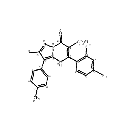 CCOC(=O)c1c(-c2ccc(F)cc2F)[nH]c2c(-c3ccc(C(F)(F)F)cc3)c(C)nn2c1=O